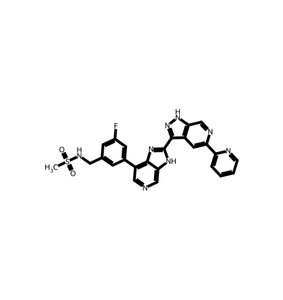 CS(=O)(=O)NCc1cc(F)cc(-c2cncc3[nH]c(-c4n[nH]c5cnc(-c6ccccn6)cc45)nc23)c1